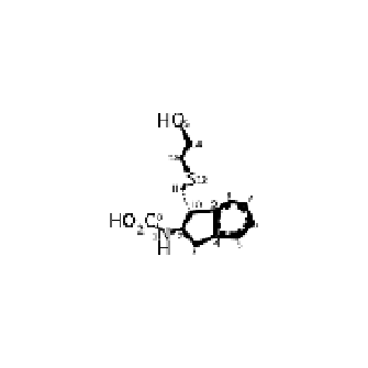 O=C(O)N[C@@H]1Cc2ccccc2[C@H]1CSCCO